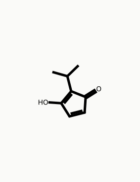 CC(C)C1=C(O)C=CC1=O